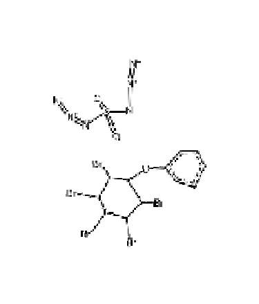 BrC1C(Br)C(Br)C(Oc2ccccc2)C(Br)C1Br.[N-]=[N+]=NS(=O)(=O)N=[N+]=[N-]